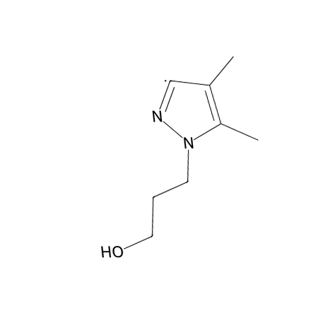 Cc1[c]nn(CCCO)c1C